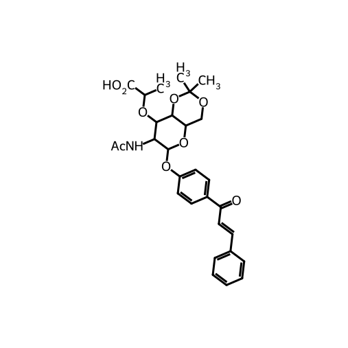 CC(=O)NC1C(Oc2ccc(C(=O)/C=C/c3ccccc3)cc2)OC2COC(C)(C)OC2C1OC(C)C(=O)O